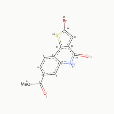 COC(=O)c1ccc2c(c1)[nH]c(=O)c1cc(Br)sc12